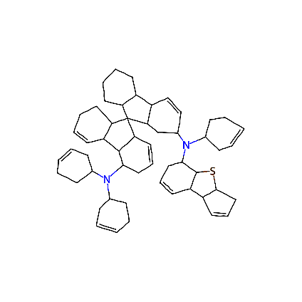 C1=CCC(N(C2C=CC3C4CCCCC4C4(C5C=CCC(N(C6CC=CCC6)C6CC=CCC6)C5C5C=CCCC54)C3C2)C2CC=CC3C4C=CCC4SC32)CC1